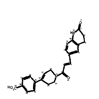 O=C1CCc2cc(/C=C/C(=O)N3CC=C(c4ccc(C(=O)O)cc4)CC3)cnc2N1